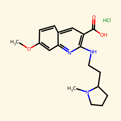 COc1ccc2cc(C(=O)O)c(NCCC3CCCN3C)nc2c1.Cl